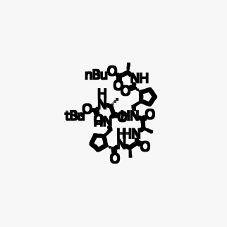 CCCCOC(=O)[C@@H](C)NC(=O)[C@@H]1CCC[C@H]1CNC(=O)[C@@H](C)NC(=O)[C@@H](C)NC(=O)[C@@H]1CCC[C@H]1CNC(=O)[C@@H](C)NC(=O)OC(C)(C)C